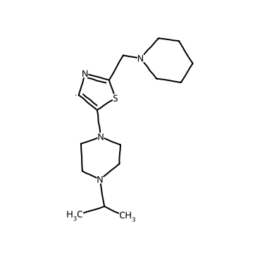 CC(C)N1CCN(c2[c]nc(CN3CCCCC3)s2)CC1